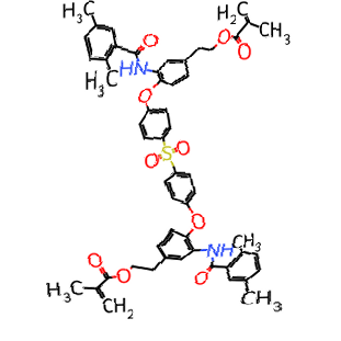 C=C(C)C(=O)OCCc1ccc(Oc2ccc(S(=O)(=O)c3ccc(Oc4ccc(CCOC(=O)C(=C)C)cc4NC(=O)c4cc(C)ccc4C)cc3)cc2)c(NC(=O)c2cc(C)ccc2C)c1